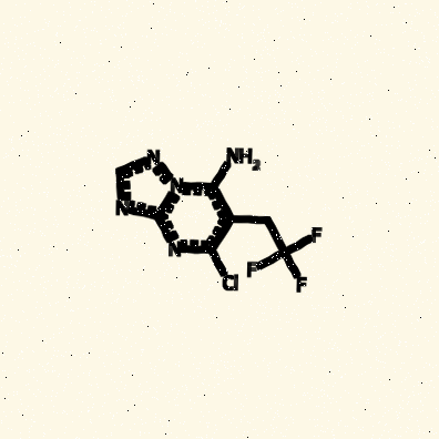 Nc1c(CC(F)(F)F)c(Cl)nc2ncnn12